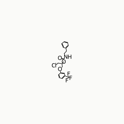 O=C(NCCc1ccccc1)OC(CCl)COc1cccc(C(F)(F)F)c1